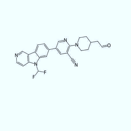 N#Cc1cc(-c2ccc3c4cnccc4n(C(F)F)c3c2)cnc1N1CCC(CC=O)CC1